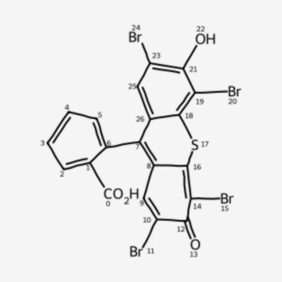 O=C(O)c1ccccc1-c1c2cc(Br)c(=O)c(Br)c-2sc2c(Br)c(O)c(Br)cc12